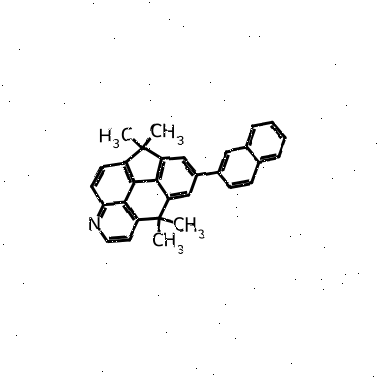 CC1(C)c2cc(-c3ccc4ccccc4c3)cc3c2-c2c1ccc1nccc(c21)C3(C)C